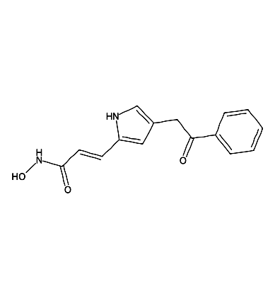 O=C(C=Cc1cc(CC(=O)c2ccccc2)c[nH]1)NO